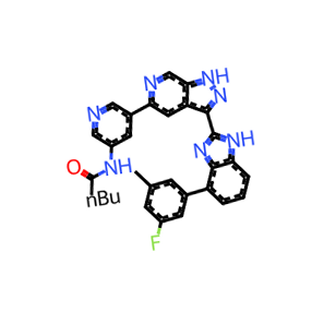 CCCCC(=O)Nc1cncc(-c2cc3c(-c4nc5c(-c6cc(C)cc(F)c6)cccc5[nH]4)n[nH]c3cn2)c1